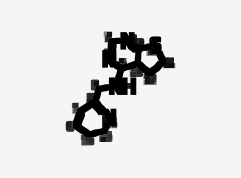 C1=CC(CNC2N=CN=C3SCCC32)=NCC1